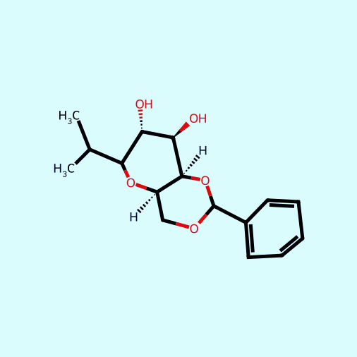 CC(C)C1O[C@@H]2COC(c3ccccc3)O[C@@H]2[C@H](O)[C@H]1O